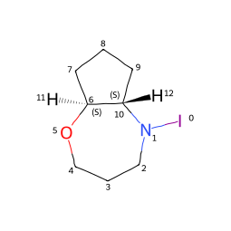 IN1CCCO[C@H]2CCC[C@@H]21